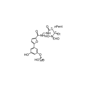 CCCCC[C@@H](C(=O)NCNC(=O)c1ccc(-c2cc(O)cc(O[PH](=O)O)c2)o1)[C@@H](CC)N(O)C=O